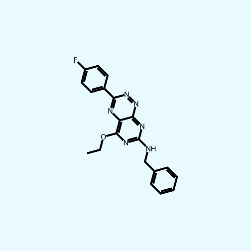 CCOc1nc(NCc2ccccc2)nc2nnc(-c3ccc(F)cc3)nc12